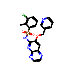 Cc1c(Cl)cccc1S(=O)(=O)Nc1nc2nccnc2cc1OCc1cccnc1